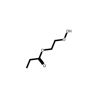 CCC(=O)OCCOO